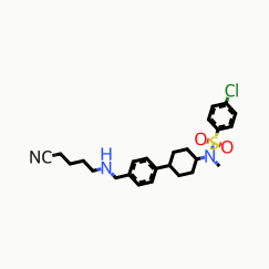 CN(C1CCC(c2ccc(CNCCCCC#N)cc2)CC1)S(=O)(=O)c1ccc(Cl)cc1